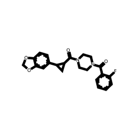 O=C(c1ccccc1F)N1CCN(C(=O)C2CC2c2ccc3c(c2)OCO3)CC1